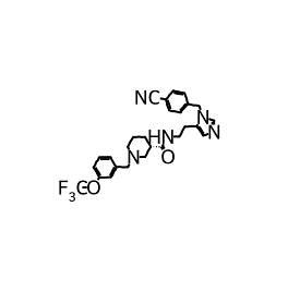 N#Cc1ccc(Cn2cncc2CCNC(=O)[C@H]2CCCN(Cc3cccc(OC(F)(F)F)c3)C2)cc1